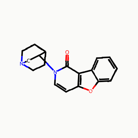 O=c1c2c(ccn1C1CN3CCC1CC3)oc1ccccc12